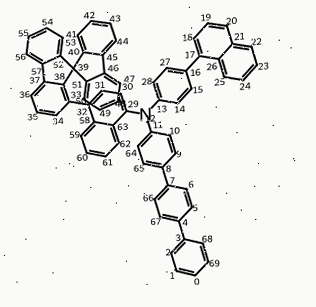 c1ccc(-c2ccc(-c3ccc(N(c4ccc(-c5cccc6ccccc56)cc4)c4ccc(-c5cccc6c5C5(c7ccccc7-c7ccccc75)c5ccccc5-6)c5ccccc45)cc3)cc2)cc1